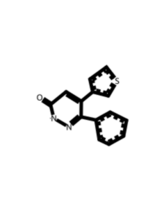 O=C1C=C(c2ccsc2)C(c2ccccc2)=N[N]1